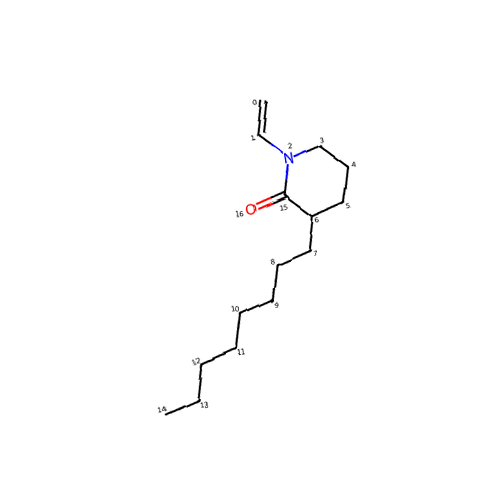 C=CN1CCCC(CCCCCCCC)C1=O